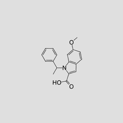 COc1ccc2cc(C(=O)O)n(C(C)c3ccccc3)c2c1